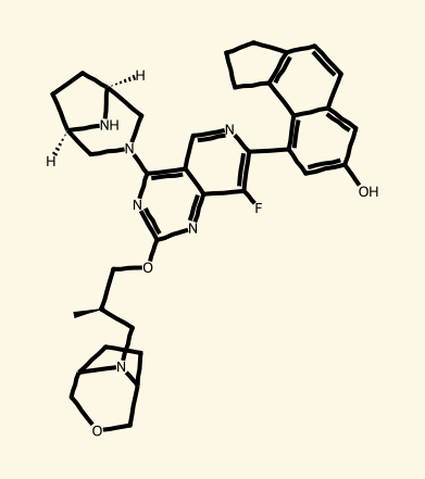 C[C@@H](COc1nc(N2C[C@H]3CC[C@@H](C2)N3)c2cnc(-c3cc(O)cc4ccc5c(c34)CCC5)c(F)c2n1)CN1C2CCC1COC2